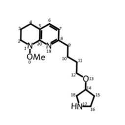 CON1CCCc2ccc(CCCCOC3CCNC3)nc21